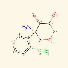 Cl.NC1(c2ccccc2Cl)COCC(O)C1=O